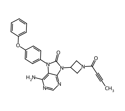 CC#CC(=O)N1CC(n2c(=O)n(-c3ccc(Oc4ccccc4)cc3)c3c(N)ncnc32)C1